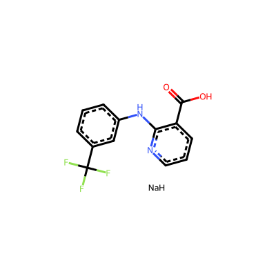 O=C(O)c1cccnc1Nc1cccc(C(F)(F)F)c1.[NaH]